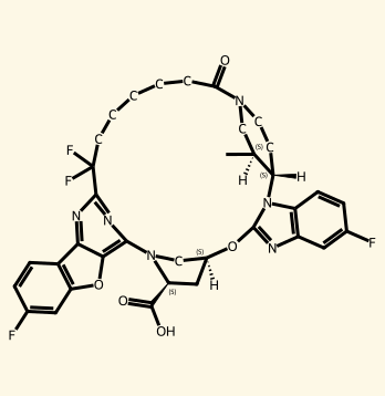 C[C@H]1CN2CC[C@@H]1n1c(nc3cc(F)ccc31)O[C@H]1C[C@@H](C(=O)O)N(C1)c1nc(nc3c1oc1cc(F)ccc13)C(F)(F)CCCCCC2=O